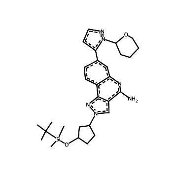 CC(C)(C)[Si](C)(C)OC1CCC(n2cc3c(N)nc4cc(-c5ccnn5C5CCCCO5)ccc4c3n2)C1